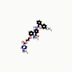 Cc1ccc(-c2ccccc2C(=O)Nc2ccc(C(=O)N(C)c3ccccc3OCCCOC(=O)N3CCN(C)CC3)cc2)cc1